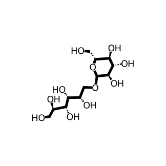 OC[C@@H](O)[C@@H](O)[C@H](O)[C@@H](O)COC1O[C@H](CO)[C@@H](O)[C@H](O)[C@H]1O